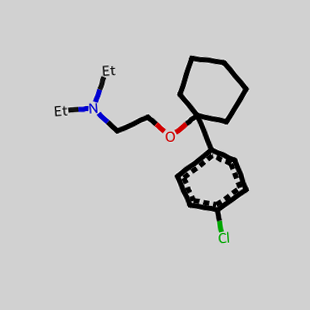 CCN(CC)CCOC1(c2ccc(Cl)cc2)CCCCC1